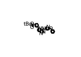 CC(C)(C)OC(=O)N1CCC[C@@H](c2ccc3ncnc(Nc4ccc(Oc5ccccc5)nc4)c3n2)C1